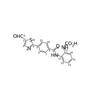 O=Cc1cnc(-c2ccc(C(=O)Nc3ccccc3NC(=O)O)cc2)s1